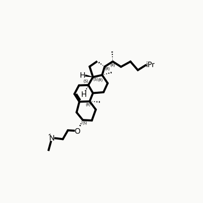 CC(C)CCC[C@@H](C)[C@H]1CC[C@H]2[C@@H]3CC=C4C[C@@H](OCCN(C)C)CC[C@]4(C)C3CC[C@]12C